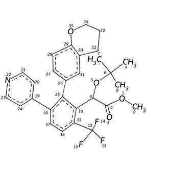 COC(=O)C(OC(C)(C)C)c1c(C(F)(F)F)ccc(-c2ccncc2)c1-c1ccc2c(c1)CCCO2